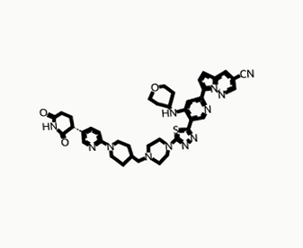 N#Cc1cnn2c(-c3cc(NC4CCOCC4)c(-c4nnc(N5CCN(CC6CCN(c7ccc([C@H]8CCC(=O)NC8=O)cn7)CC6)CC5)s4)cn3)ccc2c1